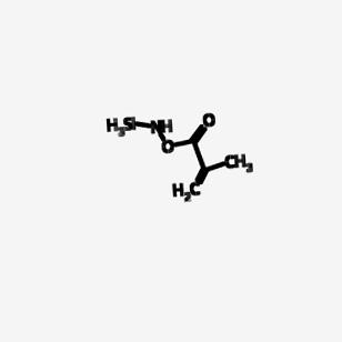 C=C(C)C(=O)ON[SiH3]